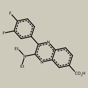 CCN(CC)c1nc2cc(C(=O)O)ccc2nc1-c1ccc(F)c(F)c1